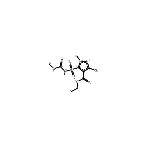 CCOC(=O)c1c(Cl)nn(C)c1S(=O)(=O)NC(=O)OC